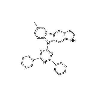 Cc1ccc2c(c1)c1cc3cc[nH]c3cc1n2-c1nc(-c2ccccc2)nc(-c2ccccc2)n1